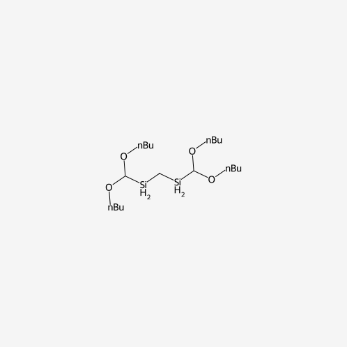 CCCCOC(OCCCC)[SiH2]C[SiH2]C(OCCCC)OCCCC